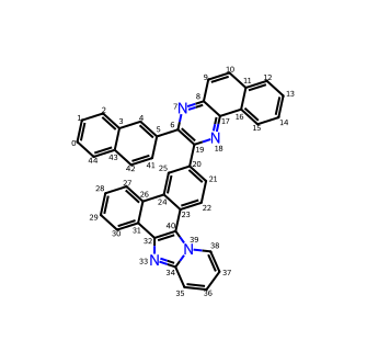 c1ccc2cc(-c3nc4ccc5ccccc5c4nc3-c3ccc4c(c3)c3ccccc3c3nc5ccccn5c43)ccc2c1